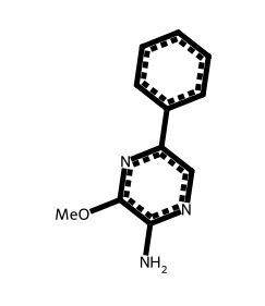 COc1nc(-c2ccccc2)cnc1N